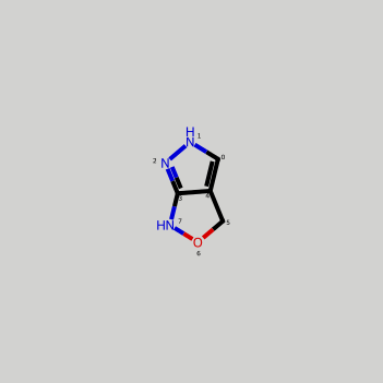 c1[nH]nc2c1CON2